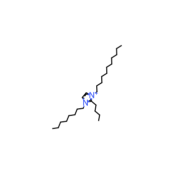 CCCCCCCCCCC[n+]1ccn(CCCCCCCC)c1CCCC